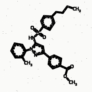 CCCCc1ccc(S(=O)(=O)Nc2cc(-c3ccc(C(=O)OC)cc3)nn2-c2ccccc2C)cc1